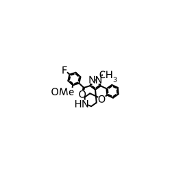 COc1cc(F)ccc1C(=O)c1nn(C)c2c1C1(CCNCC1)Oc1ccccc1-2